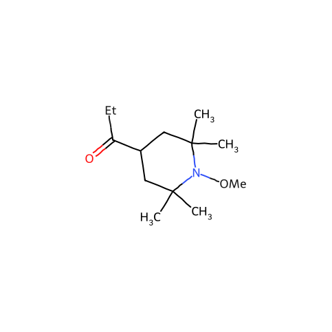 CCC(=O)C1CC(C)(C)N(OC)C(C)(C)C1